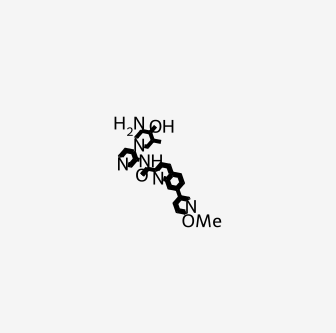 COc1ccc(-c2ccc3ccc(C(=O)Nc4cnccc4N4CC(C)C(O)C(N)C4)nc3c2)cn1